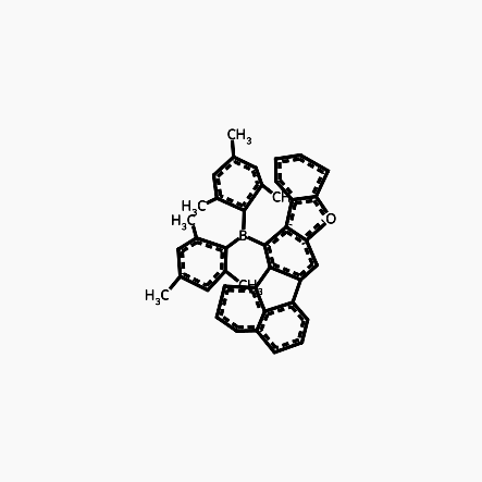 Cc1cc(C)c(B(c2c(C)cc(C)cc2C)c2c3c(cc4oc5ccccc5c24)-c2cccc4cccc-3c24)c(C)c1